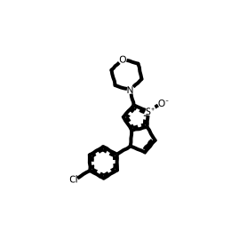 [O-][s+]1c(N2CCOCC2)cc2c1C=CC2c1ccc(Cl)cc1